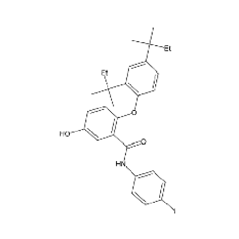 CCC(C)(C)c1ccc(Oc2ccc(O)cc2C(=O)Nc2ccc(I)cc2)c(C(C)(C)CC)c1